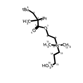 CC(C)C(C)(CC(C)(C)C)C(=O)OCC[N+](C)(C)CCCS(=O)(=O)O